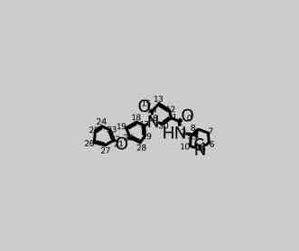 O=C(NC1CN2CCC1CC2)c1ccc(=O)n(-c2ccc(Oc3ccccc3)cc2)c1